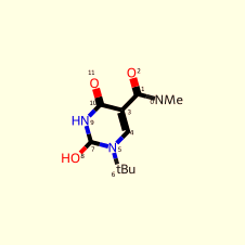 CNC(=O)C1=CN(C(C)(C)C)C(O)NC1=O